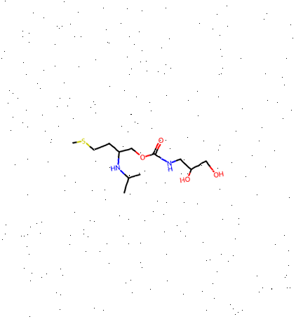 CSCCC(COC(=O)NCC(O)CO)NC(C)C